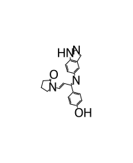 O=C1CCCN1/C=C/C(=N\c1ccc2[nH]ncc2c1)c1ccc(O)cc1